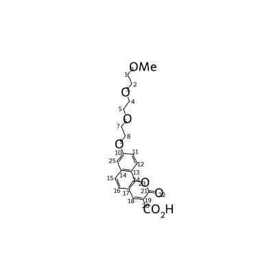 COCCOCCOCCOc1ccc2c(ccc3cc(C(=O)O)c(=O)oc32)c1